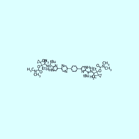 CCC(OC(=O)N(C)C)(C(=O)N[C@H](c1nc(-c2ccc(-c3cnc(-c4c[nH]c([C@@H](NC(=O)C(CC)(OC(=O)N(C)C)C5(C)CC5)C(C)(C)C)n4)cn3)cc2)c[nH]1)C(C)(C)C)C1(C)CC1